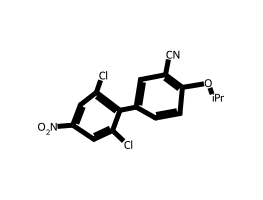 CC(C)Oc1ccc(-c2c(Cl)cc([N+](=O)[O-])cc2Cl)cc1C#N